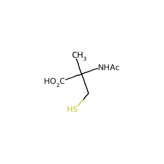 CC(=O)NC(C)(CS)C(=O)O